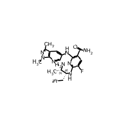 Cc1nn(C)c2ncc(Nc3nc(N[C@H](CC(C)C)[C@H](C)N)c(F)cc3C(N)=O)cc12